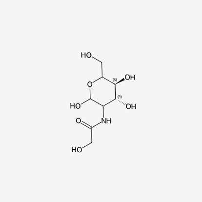 O=C(CO)NC1C(O)OC(CO)[C@@H](O)[C@@H]1O